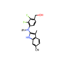 Cc1c(N(c2ccc(CO)c(F)c2F)C(C)C)[nH]c2cc(C#N)ccc12